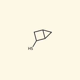 SC1CC2CC12